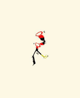 C=CC([S])OC=O